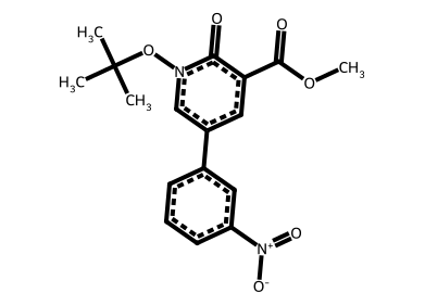 COC(=O)c1cc(-c2cccc([N+](=O)[O-])c2)cn(OC(C)(C)C)c1=O